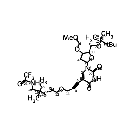 COCOC1C[C@H](n2cc(C#CCOCSSC(C)(C)CNC(=O)C(F)(F)F)c(=O)[nH]c2=O)O[C@@H]1CO[Si](C)(C)C(C)(C)C